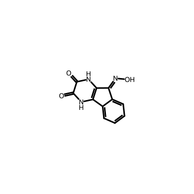 O=c1[nH]c2c([nH]c1=O)-c1ccccc1C2=NO